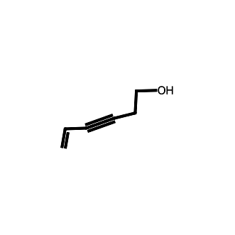 C=CC#CCCO